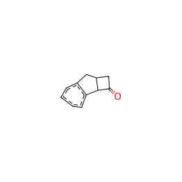 O=C1CC2Cc3ccccc3C12